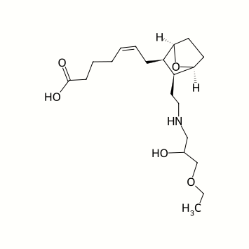 CCOCC(O)CNCC[C@H]1[C@@H](C/C=C\CCCC(=O)O)[C@H]2CC[C@@H]1O2